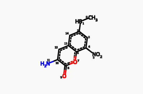 CBc1cc([N+](=O)[O-])c2oc(=O)c(N)cc2c1